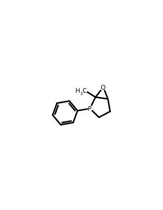 CC12OC1CCP2c1ccccc1